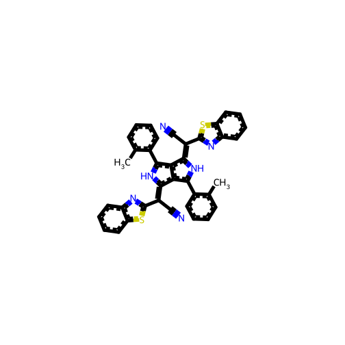 Cc1ccccc1-c1[nH]/c(=C(/C#N)c2nc3ccccc3s2)c2c(-c3ccccc3C)[nH]/c(=C(/C#N)c3nc4ccccc4s3)c12